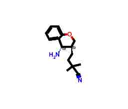 CC(C)(C#N)CC[C@@H]1COc2ccccc2[C@H]1N